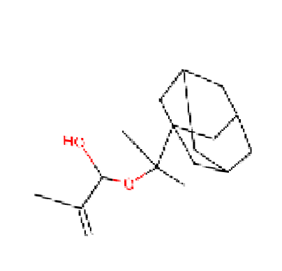 C=C(C)C(O)OC(C)(C)C12CC3CC(CC(C3)C1)C2